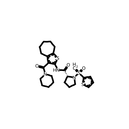 C=S(=O)(c1cccs1)N1CCC[C@@H]1C(=O)Nc1sc2c(c1C(=O)N1CCCCC1)CCCCC2